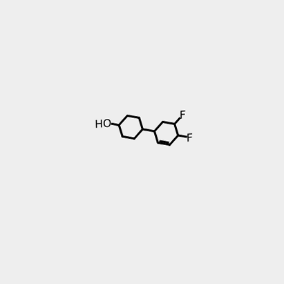 OC1CCC(C2C=CC(F)C(F)C2)CC1